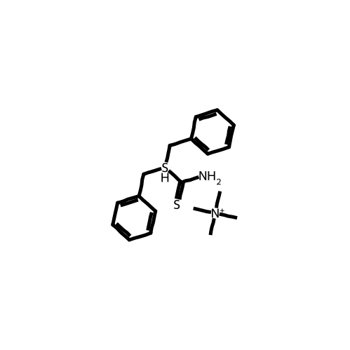 C[N+](C)(C)C.NC(=S)[SH](Cc1ccccc1)Cc1ccccc1